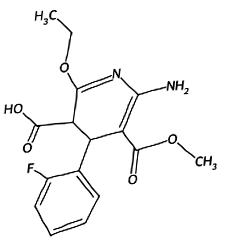 CCOC1=NC(N)=C(C(=O)OC)C(c2ccccc2F)C1C(=O)O